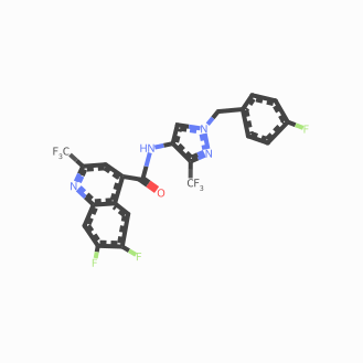 O=C(Nc1cn(Cc2ccc(F)cc2)nc1C(F)(F)F)c1cc(C(F)(F)F)nc2cc(F)c(F)cc12